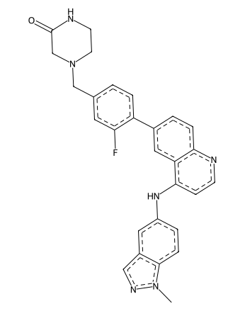 Cn1ncc2cc(Nc3ccnc4ccc(-c5ccc(CN6CCNC(=O)C6)cc5F)cc34)ccc21